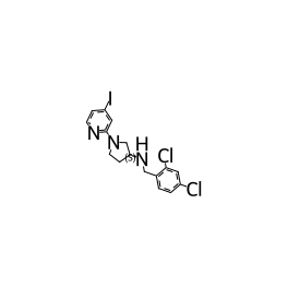 Clc1ccc(CN[C@H]2CCN(c3cc(I)ccn3)C2)c(Cl)c1